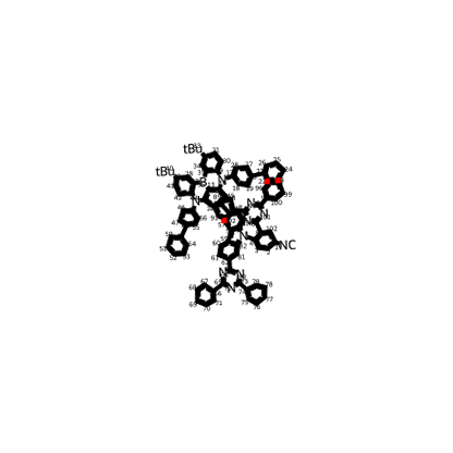 [C-]#[N+]c1ccc(-n2c3ccc(-c4cc5c6c(c4)N(c4ccc(-c7ccccc7)cc4)c4ccc(C(C)(C)C)cc4B6c4cc(C(C)(C)C)ccc4N5c4ccc(-c5ccccc5)cc4)cc3c3ccc(-c4nc(-c5ccccc5)nc(-c5ccccc5)n4)cc32)c(-c2nc(-c3ccccc3)nc(-c3ccccc3)n2)c1